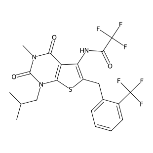 CC(C)Cn1c(=O)n(C)c(=O)c2c(NC(=O)C(F)(F)F)c(Cc3ccccc3C(F)(F)F)sc21